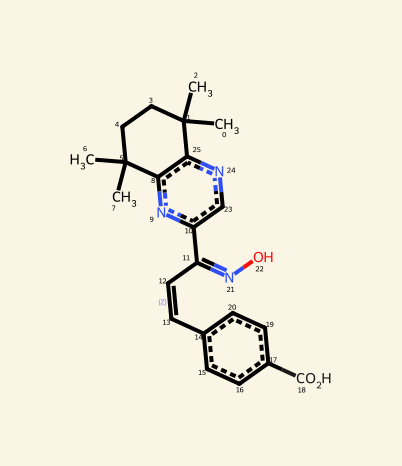 CC1(C)CCC(C)(C)c2nc(C(/C=C\c3ccc(C(=O)O)cc3)=NO)cnc21